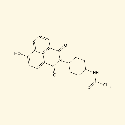 CC(=O)NC1CCC(N2C(=O)c3cccc4c(O)ccc(c34)C2=O)CC1